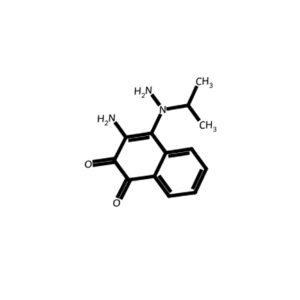 CC(C)N(N)C1=C(N)C(=O)C(=O)c2ccccc21